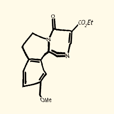 CCOC(=O)c1cnc2n(c1=O)CCc1ccc(OC)cc1-2